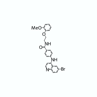 COc1ccccc1OCCNC(=O)c1ccc(Nc2ccnc3ccc(Br)cc23)cc1